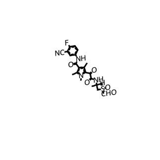 Cc1c(C(=O)Nc2ccc(F)c(C#N)c2)c(C)n(C)c1C(=O)C(=O)NC1(C)C[SH](=O)(C=O)C1